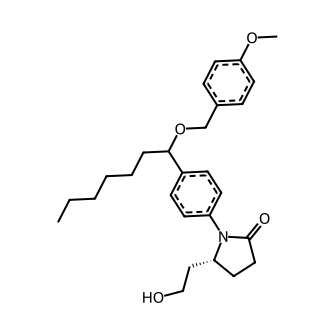 CCCCCCC(OCc1ccc(OC)cc1)c1ccc(N2C(=O)CC[C@@H]2CCO)cc1